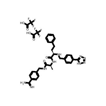 C[C@H](NC(=O)[C@@H](CCc1ccccc1)NCc1ccc(-c2nnn[nH]2)cc1)C(=O)NCc1ccc(C(=N)N)cc1.O=C(O)C(F)(F)F.O=C(O)C(F)(F)F